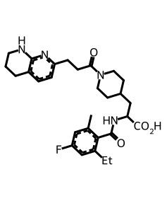 CCc1cc(F)cc(C)c1C(=O)NC(CC1CCN(C(=O)CCc2ccc3c(n2)NCCC3)CC1)C(=O)O